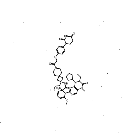 CCC1C(=O)N(C)c2cnc(C3C(OC)=CC=CC3(N)C(=O)NC3(CCO)CC4(CCN(C(=O)COc5ccc(C6CCC(=O)NC6=O)cc5)CC4)C3)nc2N1C1CCCC1